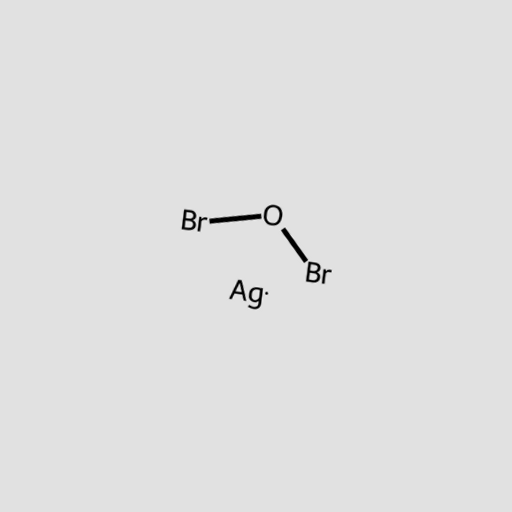 BrOBr.[Ag]